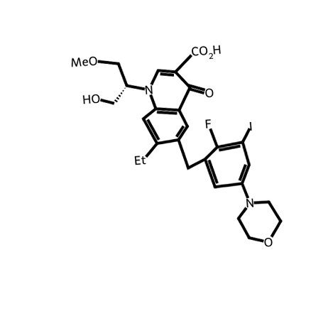 CCc1cc2c(cc1Cc1cc(N3CCOCC3)cc(I)c1F)c(=O)c(C(=O)O)cn2[C@H](CO)COC